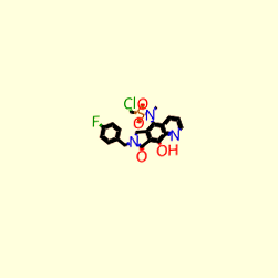 CN(c1c2c(c(O)c3ncccc13)C(=O)N(Cc1ccc(F)cc1)C2)S(=O)(=O)CCl